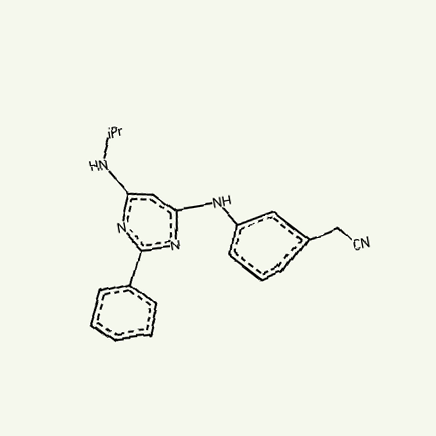 CC(C)Nc1cc(Nc2cccc(CC#N)c2)nc(-c2ccccc2)n1